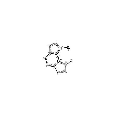 CCn1ccc2ccc3ccn(C)c3c21